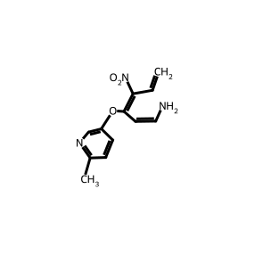 C=C/C(=C(\C=C/N)Oc1ccc(C)nc1)[N+](=O)[O-]